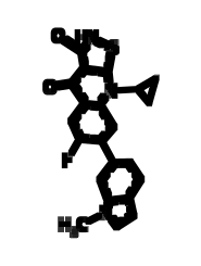 Cn1ccc2ccc(-c3cc4c(cc3F)c(=O)c3c(=O)[nH]sc3n4C3CC3)cc21